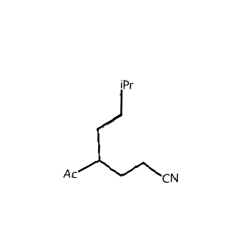 CC(=O)C(CCC#N)CCC(C)C